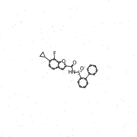 O=C(N[S+]([O-])c1ccccc1-c1ccccc1)c1cc2ccc(C3CC3)c(F)c2o1